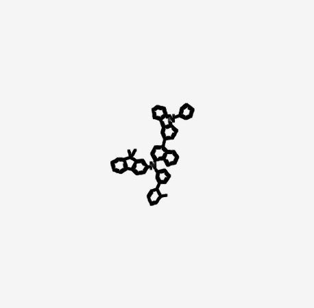 CC1C=CC=CC1c1cccc(N(c2ccc3c(c2)C(C)(C)c2ccccc2-3)c2ccc(-c3ccc4c(c3)c3ccccc3n4-c3ccccc3)c3ccccc23)c1